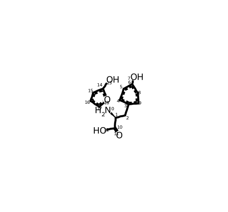 N[C@@H](Cc1ccc(O)cc1)C(=O)O.Oc1ccco1